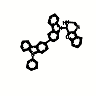 C1=Nc2c(oc3ccccc23)C(n2c3ccccc3c3cc(-c4ccc5c(c4)c4ccccc4n5-c4ccccc4)ccc32)N1